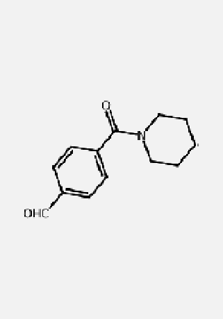 O=Cc1ccc(C(=O)N2CC[CH]CC2)cc1